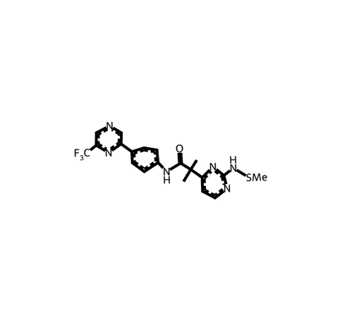 CSNc1nccc(C(C)(C)C(=O)Nc2ccc(-c3cncc(C(F)(F)F)n3)cc2)n1